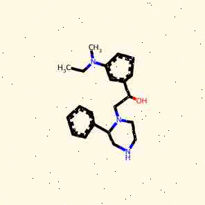 CCN(C)c1cccc(C(O)CN2CCNCC2c2ccccc2)c1